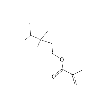 C=C(C)C(=O)OCCC(C)(C)C(C)C